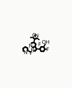 Cc1noc(C)c1-c1cnc2c(c1)c(-c1ccc(F)c(CO)c1F)cn2[C@@H](C)c1ccccn1